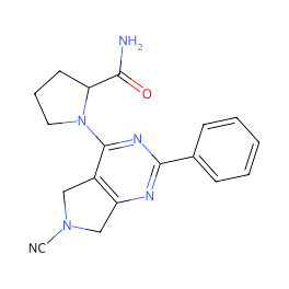 N#CN1Cc2nc(-c3ccccc3)nc(N3CCCC3C(N)=O)c2C1